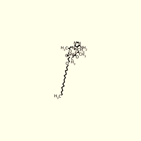 CCCCCCCCCCCCCCCCOCCCP(=O)(COC(C)Cn1cnc2c(N)ncnc21)NC(C)C(=O)SC(C)C